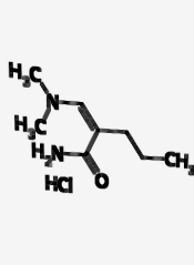 CCCC(=CN(C)C)C(N)=O.Cl